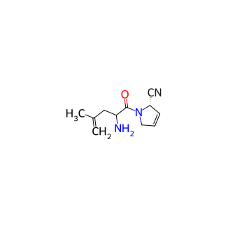 C=C(C)CC(N)C(=O)N1CC=C[C@H]1C#N